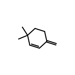 C=C1C=CC(C)(C)CC1